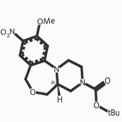 COc1cc2c(cc1[N+](=O)[O-])COC[C@H]1CN(C(=O)OC(C)(C)C)CCN21